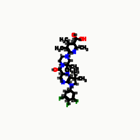 Cc1nc(N2CCN(C(=O)c3cnc4c(n3)C(C)(C)CN4c3cc(F)c(F)c(F)c3)C(C)(C)C2)c(C)c(C)c1C(=O)O